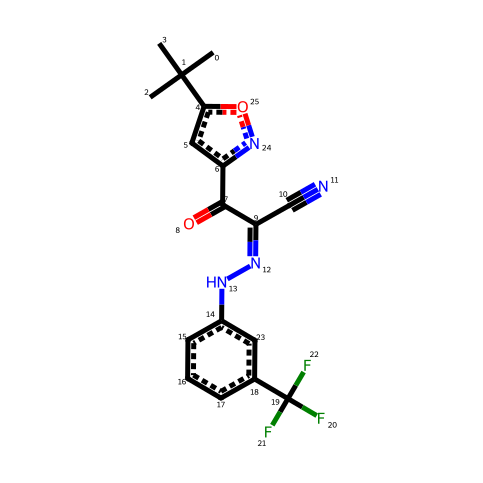 CC(C)(C)c1cc(C(=O)C(C#N)=NNc2cccc(C(F)(F)F)c2)no1